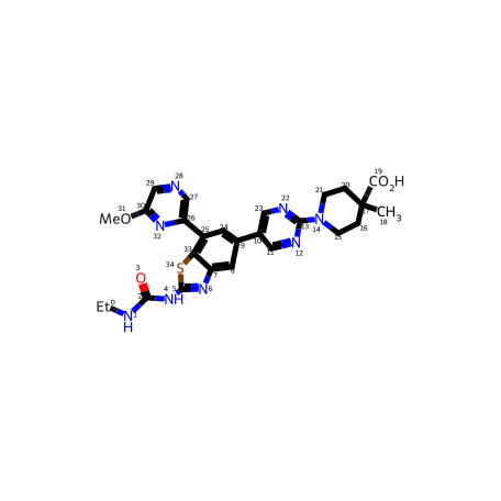 CCNC(=O)Nc1nc2cc(-c3cnc(N4CCC(C)(C(=O)O)CC4)nc3)cc(-c3cncc(OC)n3)c2s1